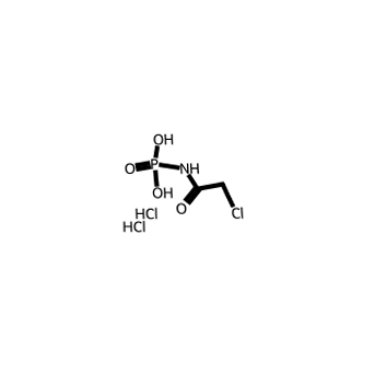 Cl.Cl.O=C(CCl)NP(=O)(O)O